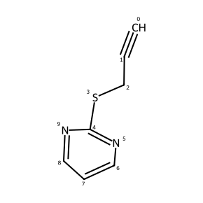 C#CCSc1ncccn1